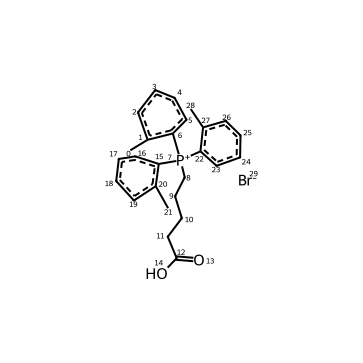 Cc1ccccc1[P+](CCCCC(=O)O)(c1ccccc1C)c1ccccc1C.[Br-]